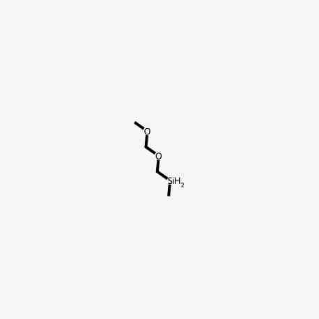 COCOC[SiH2]C